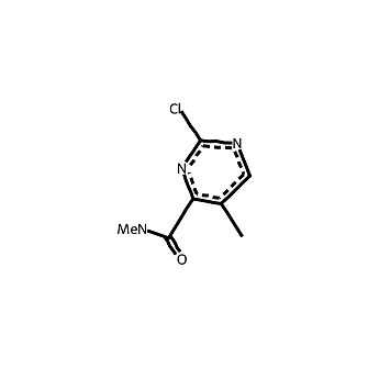 CNC(=O)c1nc(Cl)ncc1C